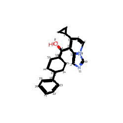 OC(c1c(C2CC2)ccn2cncc12)C1CCC(c2ccccc2)CC1